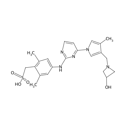 Cc1cn(-c2ccnc(Nc3cc(C)c(CS(=O)(=O)O)c(C)c3)n2)cc1CN1CC(O)C1